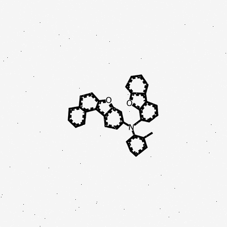 Cc1ccccc1N(c1ccc2c(c1)oc1ccc3ccccc3c12)c1cccc2c1oc1ccccc12